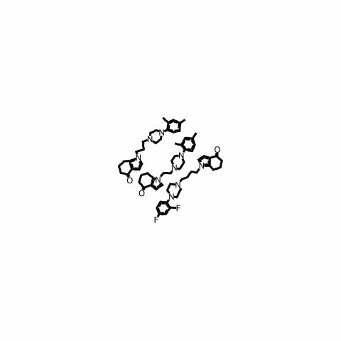 Cc1ccc(N2CCN(CCCn3ccc4c3CCCC4=O)CC2)c(C)c1.Cc1ccc(N2CCN(CCn3ccc4c3CCCC4=O)CC2)c(C)c1.O=C1CCCc2c1ccn2CCCCN1CCN(c2ccc(F)cc2F)CC1